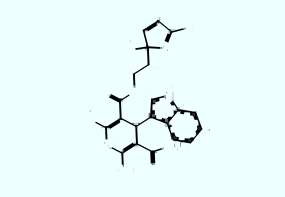 COC(=O)C1=C(C)NC(C)=C(C(=O)OCCC2(C)C=CC(C)=N2)C1c1c[nH]c2ccccc12